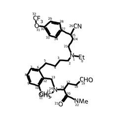 CCN(CCCCc1cccc(C)c1CN(C=O)C(CCC=O)C(=O)NC)CCC(C#N)c1ccc(OC(F)(F)F)cc1